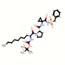 CCCCCCCC[C@H](NC(=O)OC(C)(C)C)C(=O)N1CCC[C@H]1C(=O)NC1(C(=O)NS(=O)(=O)Cc2ccccc2)CC1